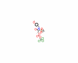 COc1ccc(CN2C(=O)C([C@@H](C)OC(=O)OCC(Cl)(Cl)Cl)C2S(=O)(=O)C(C)(C)C)cc1